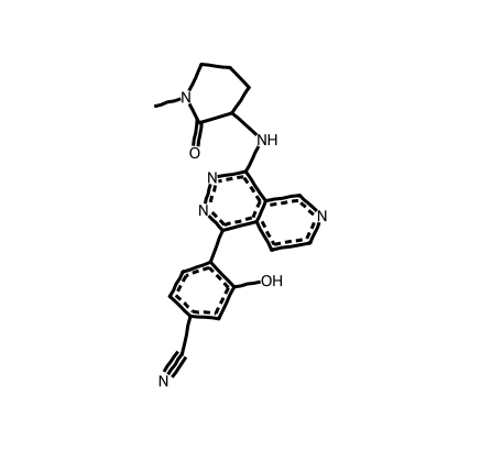 CN1CCCC(Nc2nnc(-c3ccc(C#N)cc3O)c3ccncc23)C1=O